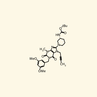 CC#CCn1c(N2CCC[C@@H](NC(=O)OC(C)(C)C)C2)nc2c1c(=O)n(Cc1cc(OC)cc(OC)c1)c(=O)n2C